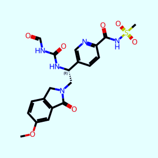 COc1ccc2c(c1)C(=O)N(C[C@H](NC(=O)NC=O)c1ccc(C(=O)NS(C)(=O)=O)nc1)C2